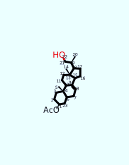 CC(=O)O[C@H]1CC[C@@]2(C)C(CC=C3C2CC[C@@]2(C)C3CCC2[C@H](C)CO)C1